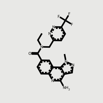 CCN(Cc1ccc(C(F)(F)F)nn1)C(=O)c1ccc2nc(N)c3cnn(C)c3c2c1